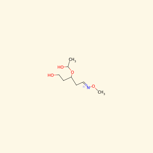 CO/N=C/CC(CCO)OC(C)O